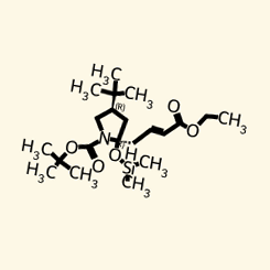 CCOC(=O)C=CC[C@@]1(O[SiH](C)C)C[C@H](C(C)(C)C)CN1C(=O)OC(C)(C)C